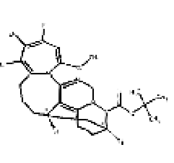 CSC1=CC(F)=C(Br)C(Cl)=C2CCC[C@@H]3C4=C5CC[C@@H]3N(C(=O)OC(C)(C)C)N5CN=C4N12